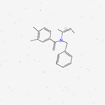 C=C(c1ccc(C)c(C)c1)N(Cc1ccccc1)/C(C)=C\C